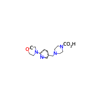 O=C(O)N1CCN(Cc2ccc(N3CCOCC3)nc2)CC1